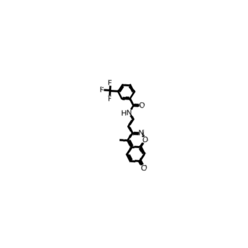 Cc1c2ccc(=O)cc-2onc1CCNC(=O)c1cccc(C(F)(F)F)c1